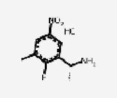 Cc1cc([N+](=O)[O-])cc([C@@H](C)N)c1F.Cl